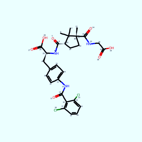 CC1(C)[C@@H](C(=O)N[C@@H](Cc2ccc(NC(=O)c3c(Cl)cccc3Cl)cc2)C(=O)O)CC[C@@]1(C)C(=O)NCC(=O)O